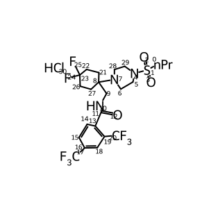 CCCS(=O)(=O)N1CCN(C2(CNC(=O)c3ccc(C(F)(F)F)cc3C(F)(F)F)CCC(F)(F)CC2)CC1.Cl